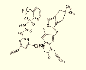 C#CCN1C(=O)COc2cc(F)c(/N=c3\snc4n3CC(C)(C)C4)cc21.COc1cc(OC)nc(NC(=O)NS(=O)(=O)c2ncccc2C(F)(F)F)n1